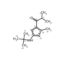 CC(C)C(=O)c1cc(NC(C)(C)C)nn1C